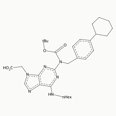 CCCCCCNc1nc(N(Cc2ccc(C3CCCCC3)cc2)C(=O)OC(C)(C)C)nc2c1ncn2CC(=O)O